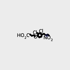 C/C=C(/Cc1ccc(OCCCC(=O)O)c(Cl)c1Cl)[N+](=O)[O-]